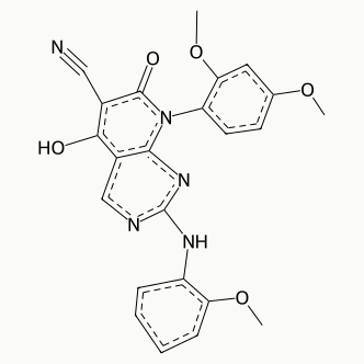 COc1ccc(-n2c(=O)c(C#N)c(O)c3cnc(Nc4ccccc4OC)nc32)c(OC)c1